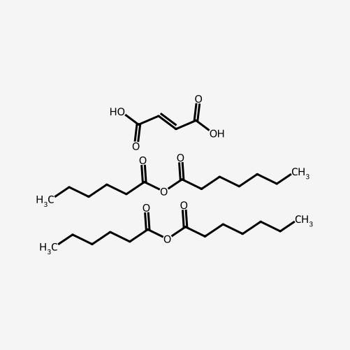 CCCCCCC(=O)OC(=O)CCCCC.CCCCCCC(=O)OC(=O)CCCCC.O=C(O)/C=C/C(=O)O